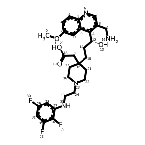 COc1ccc2ncc(CN)c([C@H](O)CCC3(CC(=O)O)CCN(CCNc4cc(F)cc(F)c4F)CC3)c2c1